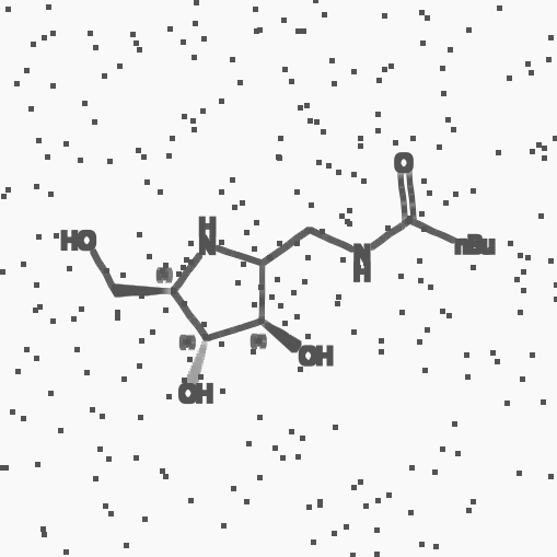 CCCCC(=O)NCC1N[C@H](CO)[C@@H](O)[C@@H]1O